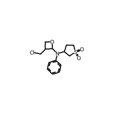 O=S1(=O)CCC(N(c2ccccc2)C2OCC2CCl)C1